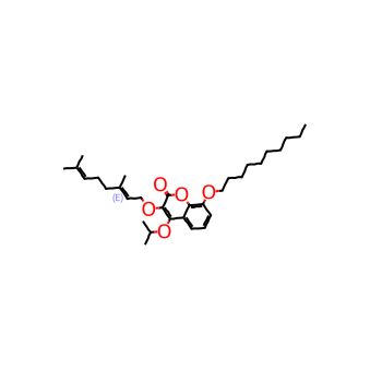 CCCCCCCCCCOc1cccc2c(OC(C)C)c(OC/C=C(\C)CCC=C(C)C)c(=O)oc12